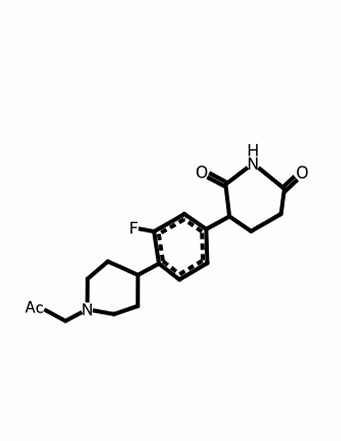 CC(=O)CN1CCC(c2ccc(C3CCC(=O)NC3=O)cc2F)CC1